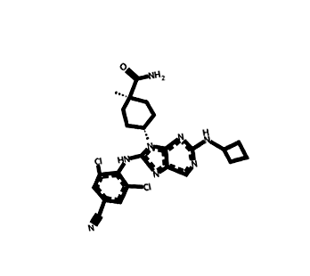 C[C@]1(C(N)=O)CC[C@H](n2c(Nc3c(Cl)cc(C#N)cc3Cl)nc3cnc(NC4CCC4)nc32)CC1